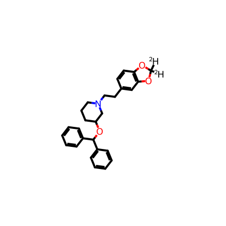 [2H]C1([2H])Oc2ccc(CCN3CCCC(OC(c4ccccc4)c4ccccc4)C3)cc2O1